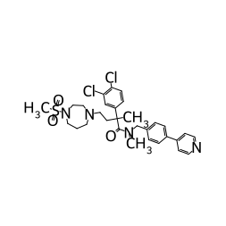 CN(Cc1ccc(-c2ccncc2)cc1)C(=O)C(C)(CCN1CCCN(S(C)(=O)=O)CC1)c1ccc(Cl)c(Cl)c1